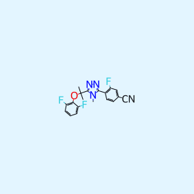 Cn1c(-c2ccc(C#N)cc2F)nnc1C(C)(C)Oc1c(F)cccc1F